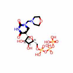 O=c1[nH]c(=O)n(CN2CCOCC2)cc1[C@@H]1O[C@H](COP(=O)(O)OP(=O)(O)OP(=O)(O)O)[C@@H](O)[C@H]1O